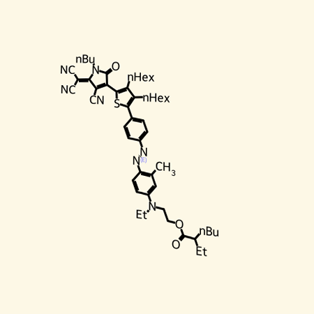 CCCCCCc1c(C2=C(C#N)C(=C(C#N)C#N)N(CCCC)C2=O)sc(-c2ccc(/N=N/c3ccc(N(CC)CCOC(=O)C(CC)CCCC)cc3C)cc2)c1CCCCCC